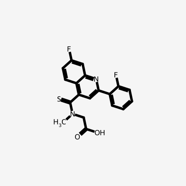 CN(CC(=O)O)C(=S)c1cc(-c2ccccc2F)nc2cc(F)ccc12